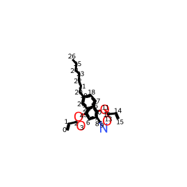 C=CC(=O)Oc1cc(C#N)c(OC(=O)C=C)c2ccc(CCCCCCC)cc12